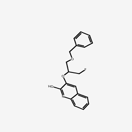 Oc1nc2ccccc2cc1OC(CF)COCc1ccccc1